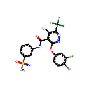 Cc1c(C(F)(F)F)nnc(Oc2ccc(Br)c(F)c2)c1C(=O)Nc1cccc(S(C)(=N)=O)c1